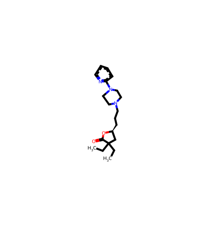 CCC1(CC)C[C@H](CCCN2CCN(c3ccccn3)CC2)OC1=O